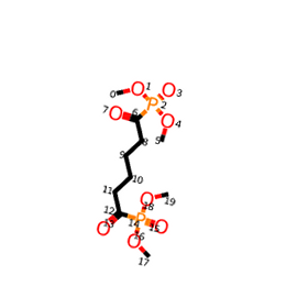 COP(=O)(OC)C(=O)CCCCC(=O)P(=O)(OC)OC